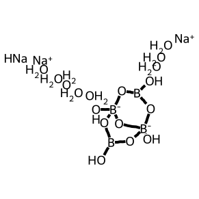 O.O.O.O.O.O.O.O.OB1O[B-]2(O)OB(O)O[B-](O)(O1)O2.[Na+].[Na+].[NaH]